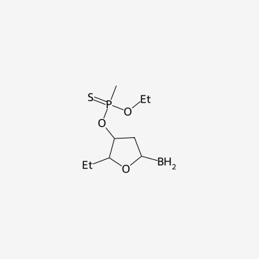 BC1CC(OP(C)(=S)OCC)C(CC)O1